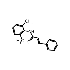 Cc1cccc(C)c1NC(=O)/C=C/c1ccccc1